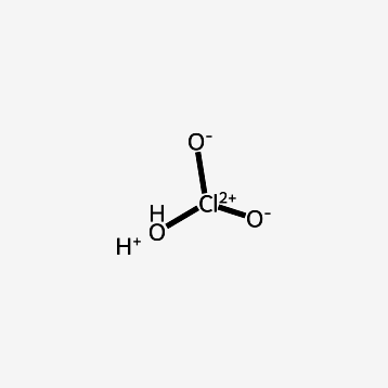 [H+].[O-][Cl+2]([O-])O